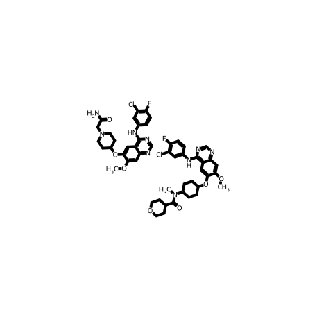 COc1cc2ncnc(Nc3ccc(F)c(Cl)c3)c2cc1OC1CCC(N(C)C(=O)C2CCOCC2)CC1.COc1cc2ncnc(Nc3ccc(F)c(Cl)c3)c2cc1OC1CCN(CC(N)=O)CC1